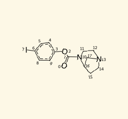 O=C(Oc1ccc(I)cc1)N1CCN2CCC1C2